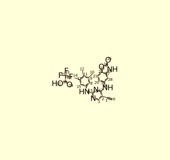 C#Cc1cnc(Nc2cc(C)c(C)c(C)c2)nc1Nc1ccc2oc(=O)[nH]c2c1.O=C(O)C(F)(F)F